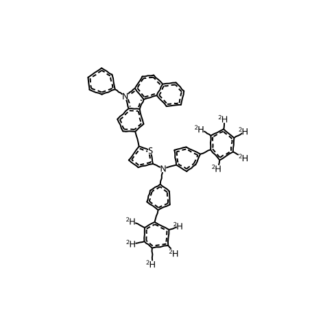 [2H]c1c([2H])c([2H])c(-c2ccc(N(c3ccc(-c4c([2H])c([2H])c([2H])c([2H])c4[2H])cc3)c3ccc(-c4ccc5c(c4)c4c6ccccc6ccc4n5-c4ccccc4)s3)cc2)c([2H])c1[2H]